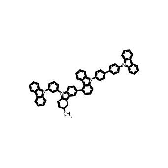 CC1C=Cc2c(c3cc(-c4cccc5c4c4ccccc4n5-c4ccc(-c5ccc(-n6c7ccccc7c7ccccc76)cc5)cc4)ccc3n2-c2cccc(-n3c4ccccc4c4ccccc43)c2)C1